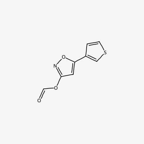 O=COc1cc(-c2ccsc2)on1